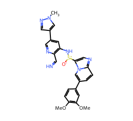 COc1ccc(-c2ccc3ncc([S+]([O-])Nc4cc(-c5cnn(C)c5)cnc4C=N)n3c2)cc1OC